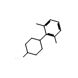 COC1CCC(c2c(C)cccc2I)CC1